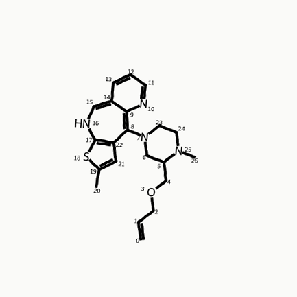 C=CCOCC1CN(C2=c3ncccc3=CNc3sc(C)cc32)CCN1C